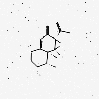 C=C(C)[C@@]12O[C@@H]1[C@@]1(C)C(=CC2=O)CC[C@@H](O)[C@@H]1C